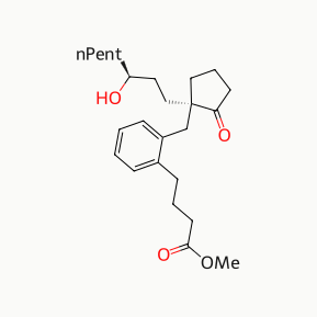 CCCCC[C@H](O)CC[C@]1(Cc2ccccc2CCCC(=O)OC)CCCC1=O